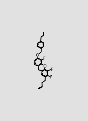 C=CCCc1cc2c(c(F)c1F)Oc1c(ccc(OCc3ccc(CCC)cc3)c1F)C2